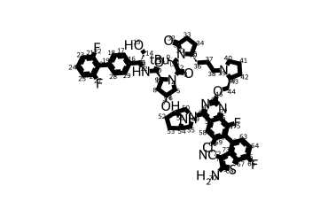 CC(C)(C)[C@@H](C(=O)N1C[C@H](O)C[C@H]1C(=O)N[C@@H](CO)c1ccc(-c2c(F)cccc2F)cc1)N1C(=O)CC[C@@H]1CCCN1CCC[C@H]1COc1nc(N2CC3CCC(C2)N3)c2cc(Cl)c(-c3ccc(F)c4sc(N)c(C#N)c34)c(F)c2n1